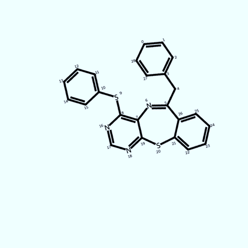 c1ccc(CC2=Nc3c(Sc4ccccc4)ncnc3Sc3ccccc32)cc1